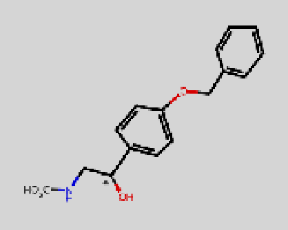 O=C(O)NC[C@H](O)c1ccc(OCc2ccccc2)cc1